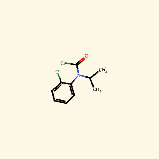 CC(C)N(C(=O)Cl)c1ccccc1Cl